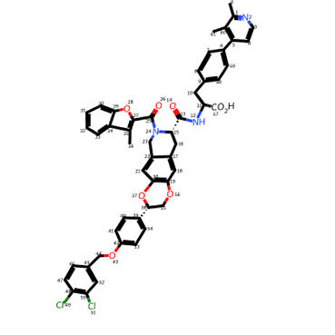 Cc1nccc(-c2ccc(CC(NC(=O)[C@@H]3Cc4cc5c(cc4CN3C(=O)c3oc4ccccc4c3C)O[C@@H](c3ccc(OCc4ccc(Cl)c(Cl)c4)cc3)CO5)C(=O)O)cc2)c1C